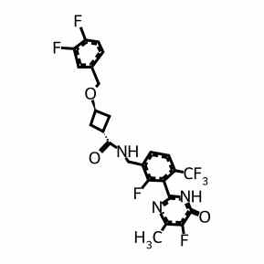 Cc1nc(-c2c(C(F)(F)F)ccc(CNC(=O)[C@H]3C[C@H](OCc4ccc(F)c(F)c4)C3)c2F)[nH]c(=O)c1F